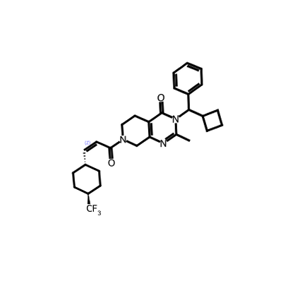 Cc1nc2c(c(=O)n1C(c1ccccc1)C1CCC1)CCN(C(=O)/C=C\[C@H]1CC[C@H](C(F)(F)F)CC1)C2